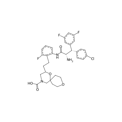 N[C@H](C(=O)Nc1cccc(F)c1CCC1CN(C(=O)O)CC2(CCOCC2)O1)[C@@H](c1ccc(Cl)cc1)c1cc(F)cc(F)c1